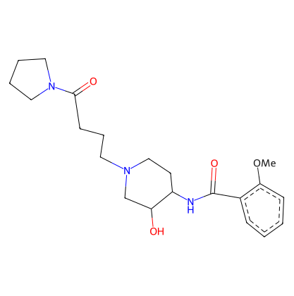 COc1ccccc1C(=O)NC1CCN(CCCC(=O)N2CCCC2)CC1O